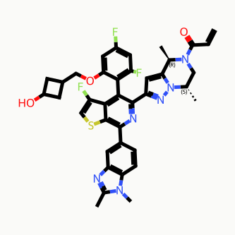 C=CC(=O)N1C[C@H](C)n2nc(-c3nc(-c4ccc5c(c4)nc(C)n5C)c4scc(F)c4c3-c3c(F)cc(F)cc3OCC3CC(O)C3)cc2[C@H]1C